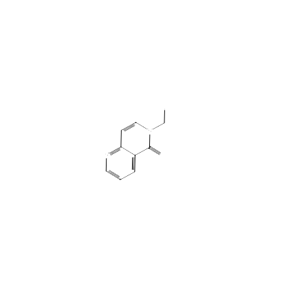 O=C(O)Cn1ccc2ncccc2c1=O